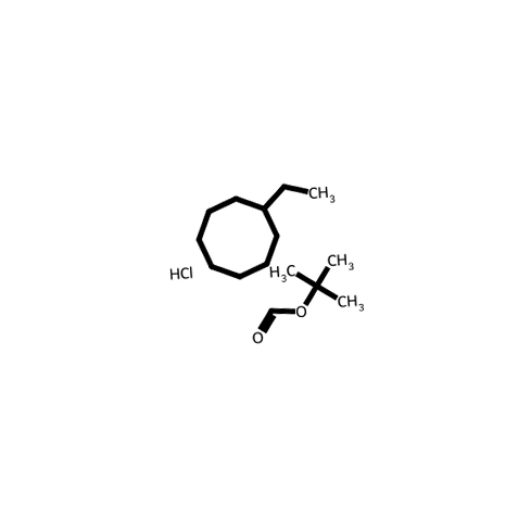 CC(C)(C)OC=O.CCC1CCCCCCC1.Cl